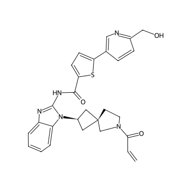 C=CC(=O)N1CC[C@]2(C1)C[C@H](n1c(NC(=O)c3ccc(-c4ccc(CO)nc4)s3)nc3ccccc31)C2